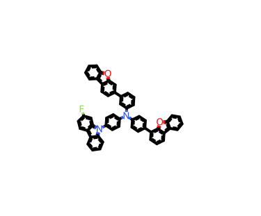 Fc1ccc2c3ccccc3n(-c3ccc(N(c4ccc(-c5cccc6c5oc5ccccc56)cc4)c4cccc(-c5ccc6c(c5)oc5ccccc56)c4)cc3)c2c1